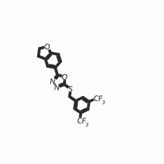 FC(F)(F)c1cc(CSc2nnc(-c3ccc4c(c3)CCO4)o2)cc(C(F)(F)F)c1